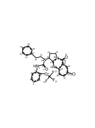 O=C(Nc1ccccc1OC(F)(F)F)N(CCc1ccccc1)C1CCn2c1nc1ccc(Cl)cc1c2=O